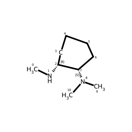 CN[C@@H]1CCCC[C@@H]1N(C)C